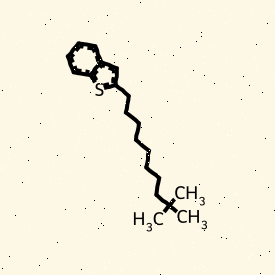 CC(C)(C)CCCCCCCCc1cc2ccccc2s1